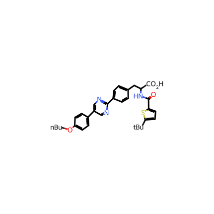 CCCCOc1ccc(-c2cnc(-c3ccc(CC(NC(=O)c4ccc(C(C)(C)C)s4)C(=O)O)cc3)nc2)cc1